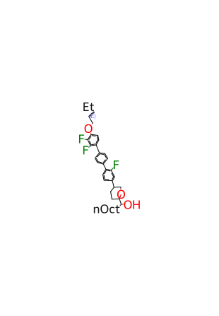 CC/C=C/COc1ccc(-c2ccc(-c3ccc(C4CCC(C(O)CCCCCCCC)OC4)cc3F)cc2)c(F)c1F